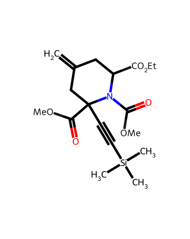 C=C1CC(C(=O)OCC)N(C(=O)OC)C(C#C[Si](C)(C)C)(C(=O)OC)C1